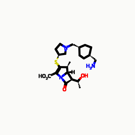 C[C@@H](O)[C@H]1C(=O)N2C(C(=O)O)=C(S[C@@H]3CCN(C[C@H]4CC[C@@H](CN)CC4)C3)[C@H](C)[C@H]12